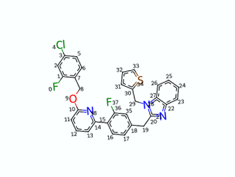 Fc1cc(Cl)ccc1COc1cccc(-c2ccc(Cc3nc4ccccc4n3Cc3cccs3)cc2F)n1